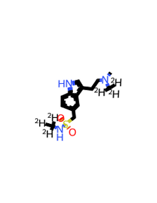 [2H]C([2H])([2H])NS(=O)(=O)Cc1ccc2[nH]cc(CCN(C)C([2H])([2H])[2H])c2c1